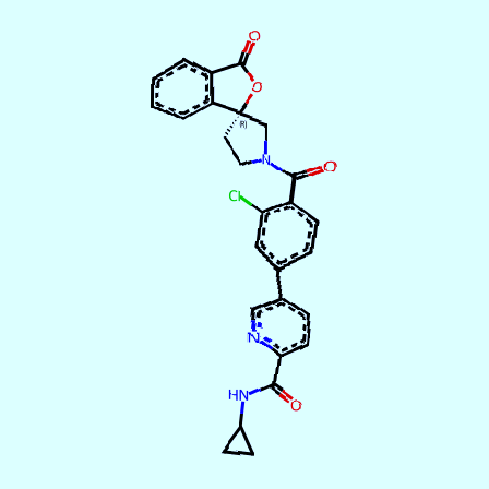 O=C(NC1CC1)c1ccc(-c2ccc(C(=O)N3CC[C@@]4(C3)OC(=O)c3ccccc34)c(Cl)c2)cn1